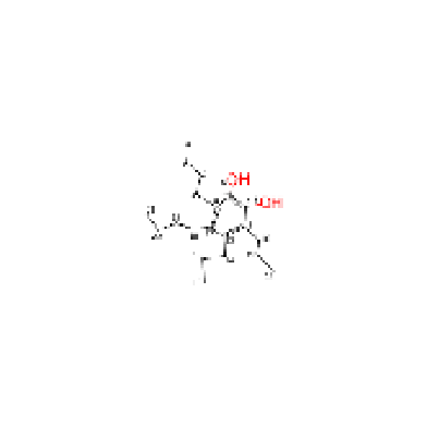 CCCCc1c(O)c(O)c(CCC)c(CCC)c1CCCC